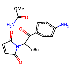 CCCCC(C(=O)c1ccc(N)cc1)N1C(=O)C=CC1=O.COC(N)=O